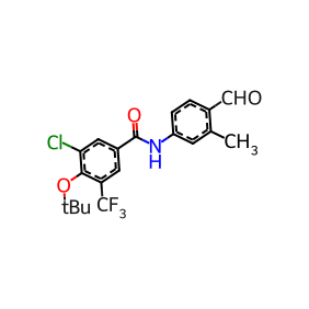 Cc1cc(NC(=O)c2cc(Cl)c(OC(C)(C)C)c(C(F)(F)F)c2)ccc1C=O